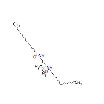 CCCCCC/C=C\CCCCCCCC(=O)N[C@@H](CCCCNC(=O)CCCCCCCCCCCCCCCCC)C(C)C